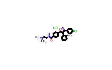 CN(C)CCNC(=O)c1ccc(-c2onc(-c3ccc(Cl)cc3)c2-c2ccccc2C(F)(F)F)cc1.Cl